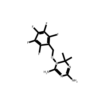 CC1(C)N=C(N)N=C(N)N1OCc1c(F)c(F)c(F)c(F)c1F